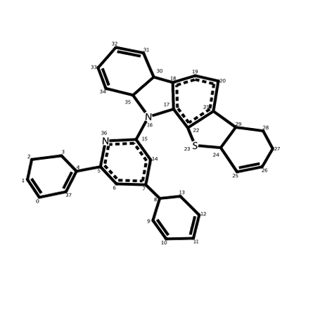 C1=CCCC(c2cc(C3C=CC=CC3)cc(N3c4c(ccc5c4SC4C=CCCC54)C4C=CC=CC43)n2)=C1